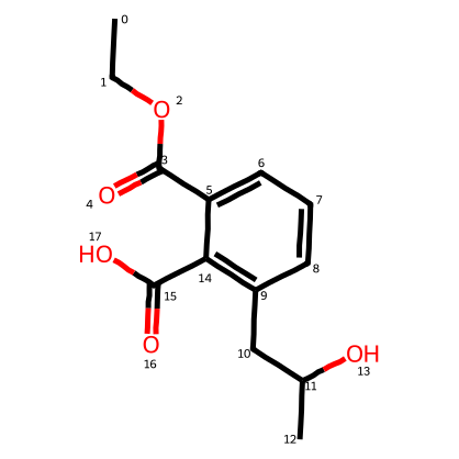 CCOC(=O)c1cccc(CC(C)O)c1C(=O)O